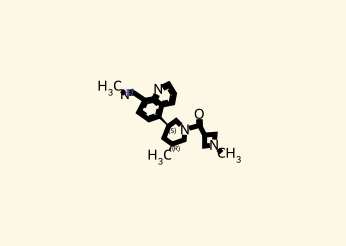 C/N=C/c1ccc([C@@H]2C[C@@H](C)CN(C(=O)C3CN(C)C3)C2)c2cccnc12